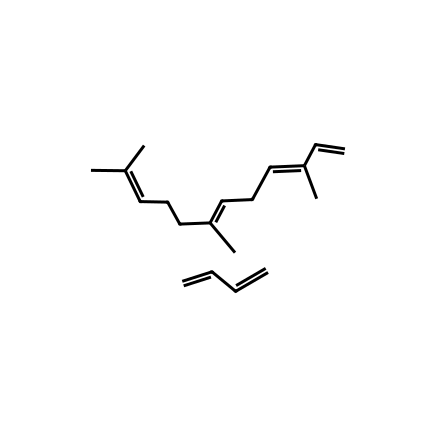 C=C/C(C)=C/C/C=C(\C)CCC=C(C)C.C=CC=C